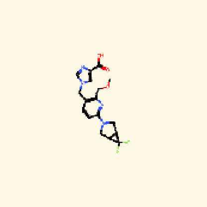 COCc1nc(N2CC3C(C2)C3(F)F)ccc1Cn1cnc(C(=O)O)c1